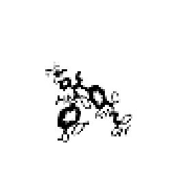 CCCC(c1ccc(C(=O)NCCC(=O)O)cc1)C(C(=O)Nc1ccc(OC)c(OC)c1)c1ccc(OC(F)(F)F)cc1